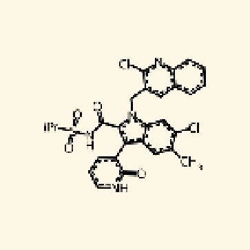 Cc1cc2c(-c3ccc[nH]c3=O)c(C(=O)NS(=O)(=O)C(C)C)n(Cc3cc4ccccc4nc3Cl)c2cc1Cl